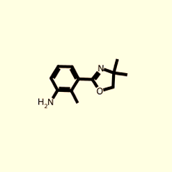 Cc1c(N)cccc1C1=NC(C)(C)CO1